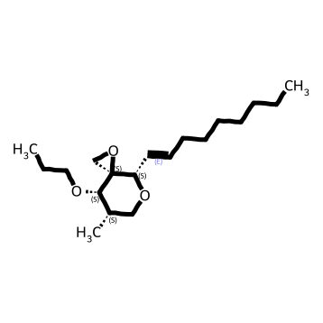 CCCCCCC/C=C/[C@@H]1OC[C@H](C)[C@H](OCCC)[C@]12CO2